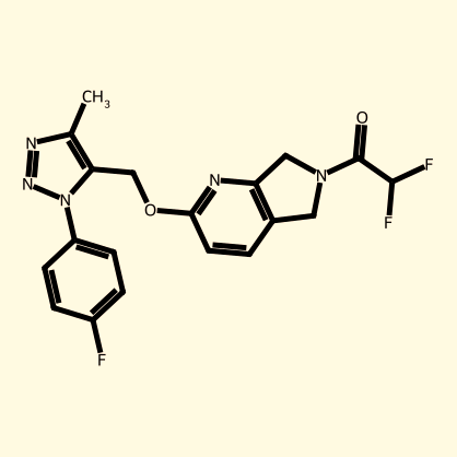 Cc1nnn(-c2ccc(F)cc2)c1COc1ccc2c(n1)CN(C(=O)C(F)F)C2